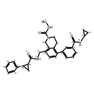 CC(C)(C)NC(=O)N1CCc2c(-c3cccc(C(=O)NC4CC4)c3)ccc(CNC(=O)C3C[C@H]3c3ccccc3)c2C1